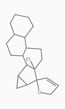 CCC12CCC3C4CCCCC4CCC3C1C1CC1C21C=CCO1